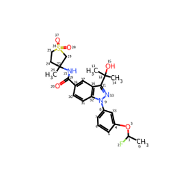 CC(F)Oc1cccc(-n2nc(C(C)(C)O)c3cc(C(=O)NC4(C)CCS(=O)(=O)C4)ccc32)c1